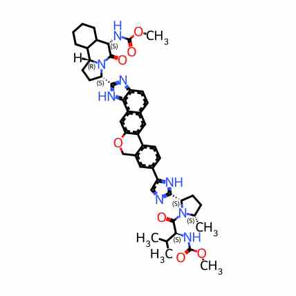 COC(=O)N[C@H](C(=O)N1[C@@H](C)CC[C@H]1c1ncc(-c2ccc3c(c2)COc2cc4c(ccc5nc([C@@H]6CC[C@@H]7C8CCCCC8[C@H](NC(=O)OC)C(=O)N76)[nH]c54)cc2-3)[nH]1)C(C)C